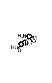 Nc1ccc(Cl)c(C(=O)O)c1NCc1ccc(C(=O)O)cc1